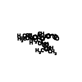 Cc1cc(C)c(CNC(=O)c2cc(-c3ccc(CN4CCOCC4)cc3)cc(N(C)C3CCC(NC(=O)OC(C)(C)C)CC3)c2C)c(=O)[nH]1